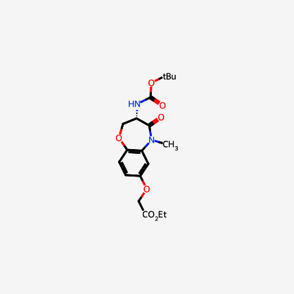 CCOC(=O)COc1ccc2c(c1)N(C)C(=O)[C@@H](NC(=O)OC(C)(C)C)CO2